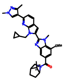 COc1cc(C(=O)N2CC3CCC2[C@@H]3C)cc2nc(-c3cc4ccc(-c5cn(C)nc5C)nc4n3CC3CC3)n(C)c12